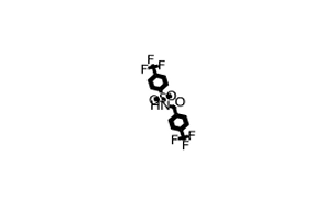 O=C(NS(=O)(=O)c1ccc(C(F)(F)F)cc1)c1ccc(C(F)(F)F)cc1